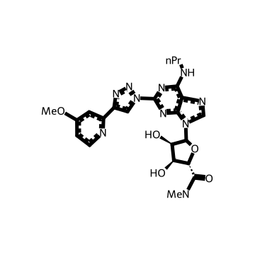 CCCNc1nc(-n2cc(-c3cc(OC)ccn3)nn2)nc2c1ncn2C1O[C@H](C(=O)NC)[C@@H](O)[C@H]1O